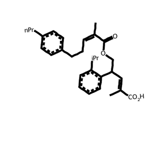 CCCc1ccc(CCC=C(C)C(=O)OCC(C=C(C)C(=O)O)c2ccccc2C(C)C)cc1